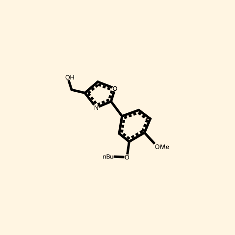 CCCCOc1cc(-c2nc(CO)co2)ccc1OC